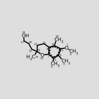 COc1c(C)c(C)c2c(c1C)CCC(C)(CCCO)O2